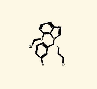 N#CCCC[C@H](c1cccc(Br)c1)n1ccc2cccc(OCC#N)c21